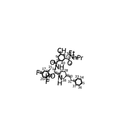 CCCN(CC)C(=O)c1cc(C)cc(C(=O)N[C@@H](Cc2cc(F)cc(F)c2)[C@H](O)C2CCC(CCc3ccccc3)CN2)c1